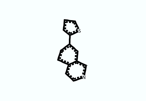 [c]1nccc2ccc(-c3cccs3)cc12